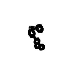 c1ccc(Nc2cccc(-c3ccc4c(ccc5ccccc54)c3)c2)cc1